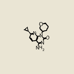 Nc1nc(=O)n(C2CCCOC2)c2nc(C3CC3)ccc12